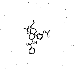 C=CCN1CCC2(c3cccc(OC(C)=O)c3)CC(NC(=O)c3ccccc3)CCC2(OC(C)=O)C1